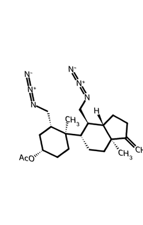 C=C1CC[C@H]2[C@H](CN=[N+]=[N-])[C@@H]([C@@]3(C)CC[C@H](OC(C)=O)C[C@@H]3CN=[N+]=[N-])CC[C@]12C